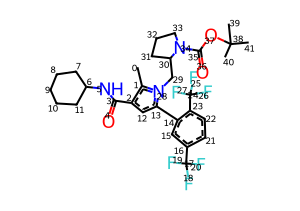 Cc1c(C(=O)NC2CCCCC2)cc(-c2cc(C(F)(F)F)ccc2C(F)(F)F)n1CC1CCCN1C(=O)OC(C)(C)C